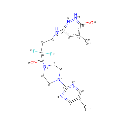 Cc1cnc(N2CCN(C(=O)C(F)(F)CCNc3cc(C(F)(F)F)c(=O)[nH]n3)CC2)nc1